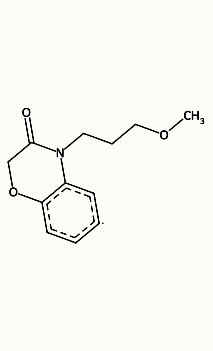 COCCCN1C(=O)COc2cc[c]cc21